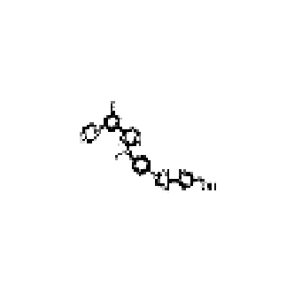 OCc1ccc(-c2ncn(-c3ccc(Nc4nccc(-c5cc(F)cc(N6CCOCC6)c5)n4)cc3)n2)nc1